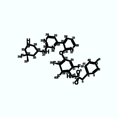 Cc1ccc(CS(=O)(=O)Nc2c(F)cc(Oc3ncccc3-c3ccnc(N[C@@H]4CNC[C@@](C)(F)C4)n3)c(F)c2F)cc1